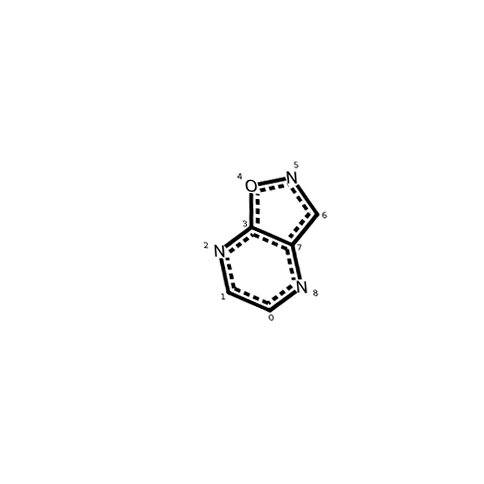 c1cnc2oncc2n1